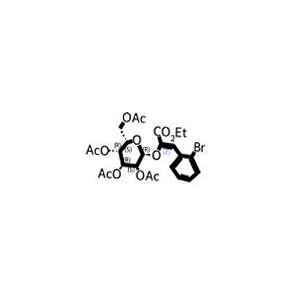 CCOC(=O)/C(=C/c1ccccc1Br)O[C@H]1O[C@@H](COC(C)=O)[C@@H](OC(C)=O)[C@@H](OC(C)=O)[C@@H]1OC(C)=O